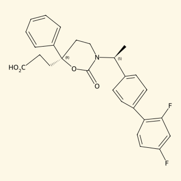 C[C@@H](c1ccc(-c2ccc(F)cc2F)cc1)N1CC[C@](CCC(=O)O)(c2ccccc2)OC1=O